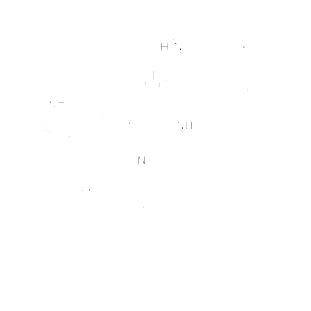 COCCCO[C@@H](c1ccccc1)C1CCCN(c2c(N[C@@H](CC3CCCCC3)[C@H](O)CN)c(=O)c2=O)C1